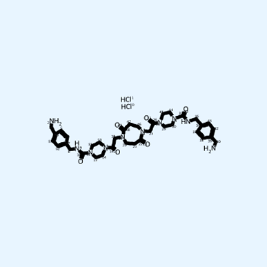 Cl.Cl.NCc1ccc(CNC(=O)N2CCN(C(=O)CN3CCC(=O)N(CC(=O)N4CCN(C(=O)NCc5ccc(CN)cc5)CC4)CCC3=O)CC2)cc1